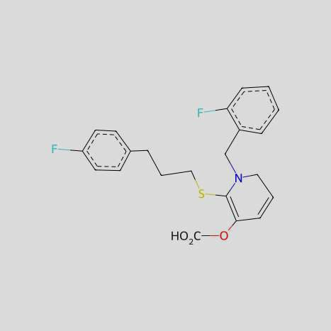 O=C(O)OC1=C(SCCCc2ccc(F)cc2)N(Cc2ccccc2F)CC=C1